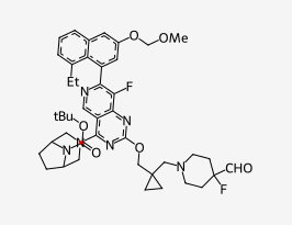 CCc1cccc2cc(OCOC)cc(-c3ncc4c(N5CC6CCC(C5)N6C(=O)OC(C)(C)C)nc(OCC5(CN6CCC(F)(C=O)CC6)CC5)nc4c3F)c12